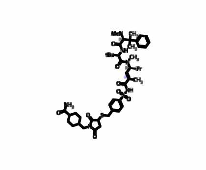 CN[C@H](C(=O)NC(C(=O)N(C)[C@H](/C=C(\C)C(=O)NS(=O)(=O)c1ccc(CSC2CC(=O)N(CC3CCC(C(N)=O)CC3)C2=O)cc1)C(C)C)C(C)(C)C)C(C)(C)c1ccccc1